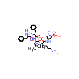 CC(C)C[C@@H](NC(=O)[C@@H](Cc1ccccc1)NC(=O)[C@H](N)Cc1ccccc1)C(=O)N[C@H](CCCCN)C(=O)N[C@@H]1CN[C@H](C(=O)O)C1